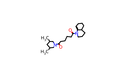 CC1CC(C)CN(C(=O)CCCCC(=O)N2CCCC3CCCC=C32)C1